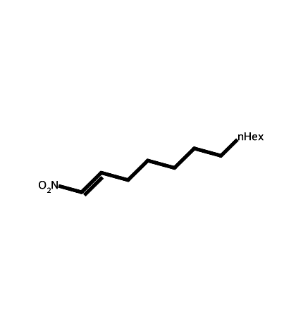 CCCCCCCCCCCC=C[N+](=O)[O-]